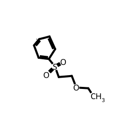 CCOCCS(=O)(=O)c1cc[c]cc1